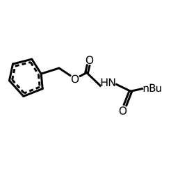 CCCCC(=O)NCC(=O)OCc1ccccc1